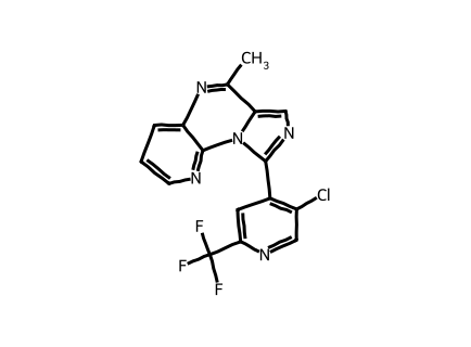 Cc1nc2cccnc2n2c(-c3cc(C(F)(F)F)ncc3Cl)ncc12